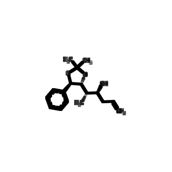 C=CC[C@H](O)[C@H](C)[C@H]1OC(C)(C)O[C@@H]1c1ccccc1